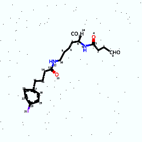 O=CCCC(=O)NC(CCCCNC(=O)CCCc1ccc(I)cc1)C(=O)O